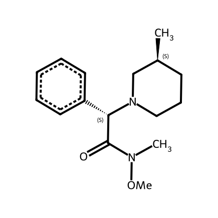 CON(C)C(=O)[C@H](c1ccccc1)N1CCC[C@H](C)C1